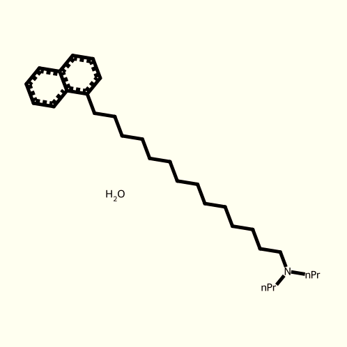 CCCN(CCC)CCCCCCCCCCCCCCc1cccc2ccccc12.O